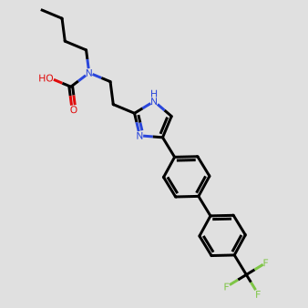 CCCCN(CCc1nc(-c2ccc(-c3ccc(C(F)(F)F)cc3)cc2)c[nH]1)C(=O)O